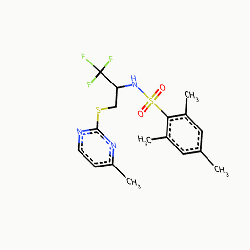 Cc1cc(C)c(S(=O)(=O)NC(CSc2nccc(C)n2)C(F)(F)F)c(C)c1